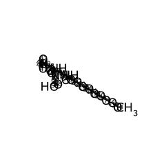 COCCOCCOCCOCCOCCOCCOCCOCCOCC(=O)NCCCC[C@H](NC(=O)CCCN1C(=O)C=CC1=O)C(=O)NCCCC(=O)O